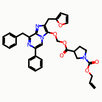 C=CCOC(=O)N1CCC(C(=O)OCOc2c(Cc3ccco3)nc3c(Cc4ccccc4)nc(-c4ccccc4)cn23)C1